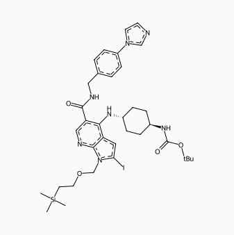 CC(C)(C)OC(=O)N[C@H]1CC[C@H](Nc2c(C(=O)NCc3ccc(-n4ccnc4)cc3)cnc3c2cc(I)n3COCC[Si](C)(C)C)CC1